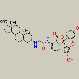 CCC[C@@H](C)[C@H]1CCC2C3CCC4CC(NCC(=O)Nc5cccc6c5C(=O)OC65c6ccc(O)cc6Oc6cc(O)ccc65)CC[C@]4(C)C3CC[C@@]21C